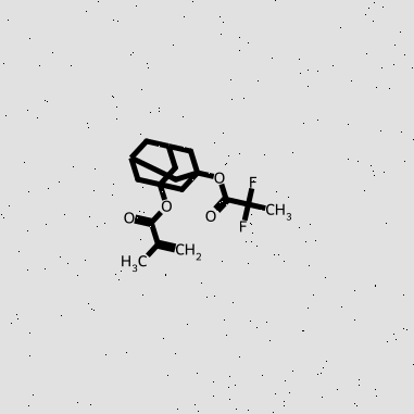 C=C(C)C(=O)OC12CC3CC(C1)CC(OC(=O)C(C)(F)F)(C3)C2